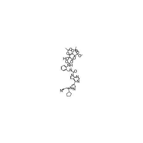 COC(=O)[C@H]1O[C@@H](OC(=O)Nc2ccccc2CN(C)C(=O)n2ccc3c(-c4cnn([C@H](CC#N)C5CCCC5)c4)ncnc32)[C@H](O)[C@@H](OC(C)=O)[C@@H]1OC(C)=O